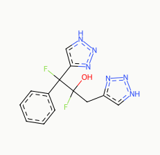 OC(F)(Cc1c[nH]nn1)C(F)(c1ccccc1)c1c[nH]nn1